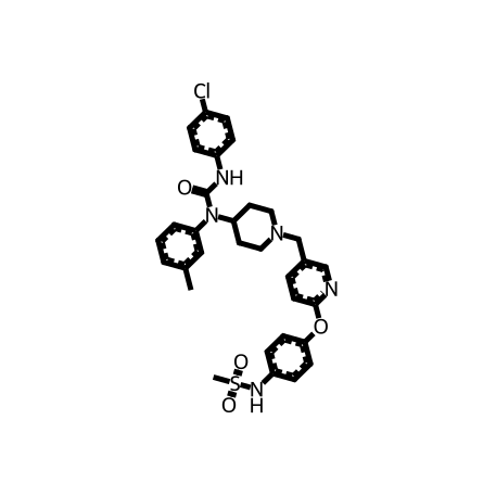 Cc1cccc(N(C(=O)Nc2ccc(Cl)cc2)C2CCN(Cc3ccc(Oc4ccc(NS(C)(=O)=O)cc4)nc3)CC2)c1